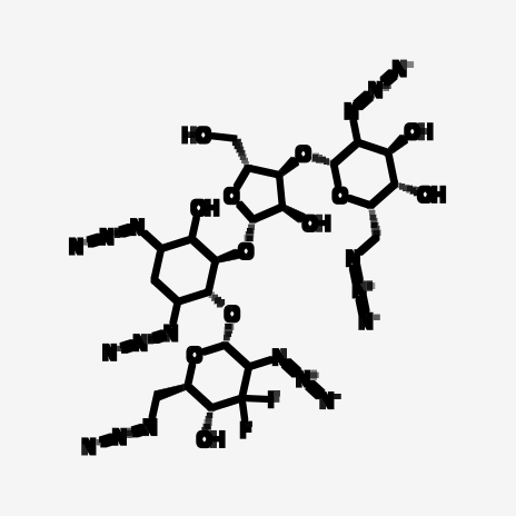 [N-]=[N+]=NC[C@@H]1O[C@H](O[C@H]2[C@@H](O)[C@H](O[C@@H]3C(O)C(N=[N+]=[N-])CC(N=[N+]=[N-])[C@H]3O[C@H]3O[C@H](CN=[N+]=[N-])[C@@H](O)C(F)(F)C3N=[N+]=[N-])O[C@@H]2CO)C(N=[N+]=[N-])[C@@H](O)[C@@H]1O